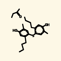 CCC(C)=O.CCCCc1cc(O)c(C)cc1Sc1cc(C)c(O)cc1CCCC